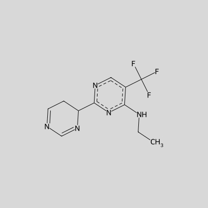 CCNc1nc(C2CC=NC=N2)ncc1C(F)(F)F